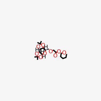 CC1(C)O[C@H]2[C@@H](O1)[C@@H](COCC(=O)OC1CCCCO1)O[C@@H]1OC(C)(C)O[C@@H]12